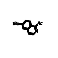 CC(=O)c1nccc2cc(C(C)(C)C)ccc12